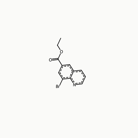 CCOC(=O)c1cc(Br)c2ncccc2c1